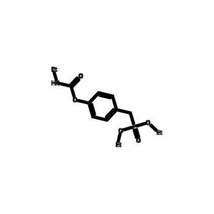 CCNC(=O)Oc1ccc(CP(=O)(OCC)OCC)cc1